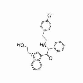 O=C(c1cn(CCO)c2ccccc12)C(NCCc1ccc(Cl)cc1)c1ccccc1